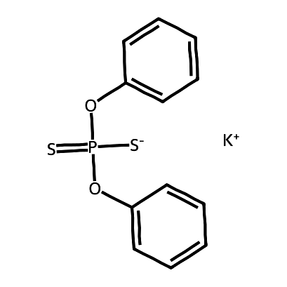 S=P([S-])(Oc1ccccc1)Oc1ccccc1.[K+]